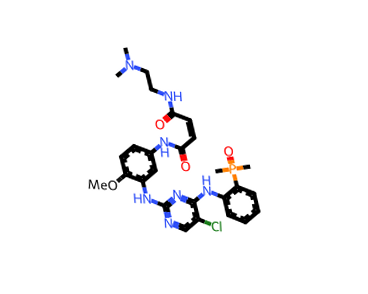 COc1ccc(NC(=O)/C=C\C(=O)NCCN(C)C)cc1Nc1ncc(Cl)c(Nc2ccccc2P(C)(C)=O)n1